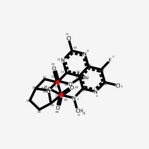 CN(c1nc(Cl)c(F)c2nc(Cl)nc(N3CC4CCC(C3)N4C(=O)OC(C)(C)C)c12)S(C)(=O)=O